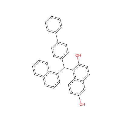 Oc1ccc2c(C(c3ccc(-c4ccccc4)cc3)c3cccc4ccccc34)c(O)ccc2c1